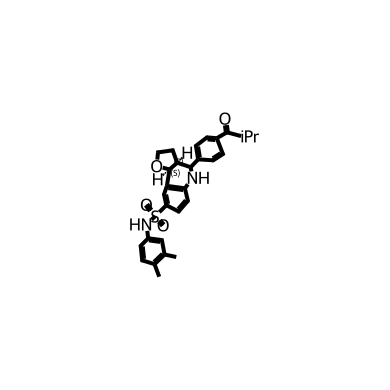 Cc1ccc(NS(=O)(=O)c2ccc3c(c2)[C@H]2OCC[C@H]2C(c2ccc(C(=O)C(C)C)cc2)N3)cc1C